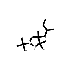 CCC(C)CC1(C)OB(C(C)(C)C)OC1(C)C